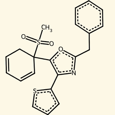 CS(=O)(=O)C1(c2oc(Cc3ccccc3)nc2-c2cccs2)C=CC=CC1